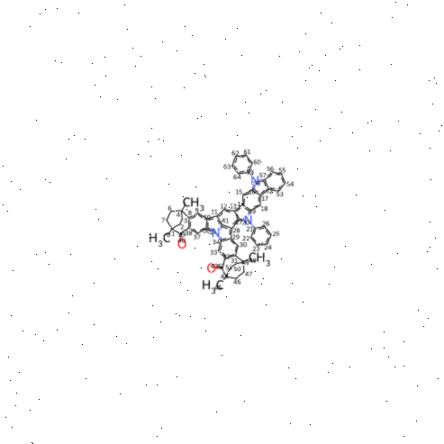 CC12CCC(C)(CC1)c1cc3c4cc5c6cc7c(cc6n(-c6ccccc6)c5c5c6cc8c(cc6n(c3cc1C2=O)c45)C(=O)C1(C)CCC8(C)CC1)c1ccccc1n7-c1ccccc1